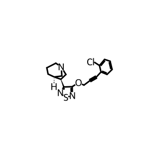 Clc1ccccc1C#CCOc1nsnc1[C@@H]1CN2CCC[C@H]1C2